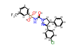 O=C(NS(=O)(=O)c1cccc(C(F)(F)F)c1)N1CC(c2ccccc2)C(c2ccc(Cl)cc2)=N1